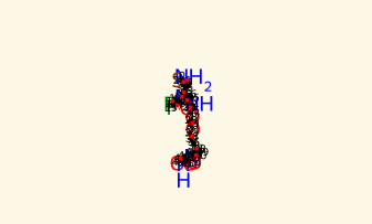 NC(=S)c1cccc(-c2cn(C3CCC(F)(F)CC3)c3cc(NC(=O)CCOCCCOCCCC#Cc4cccc5c4CN(C4CCC(=O)NC4=O)C5=O)ccc23)c1